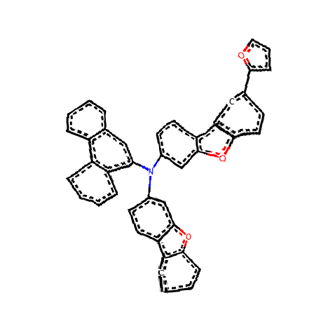 c1coc(-c2ccc3oc4cc(N(c5ccc6c(c5)oc5ccccc56)c5cc6ccccc6c6ccccc56)ccc4c3c2)c1